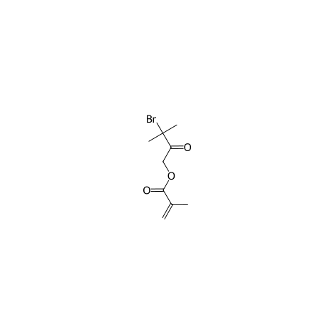 C=C(C)C(=O)OCC(=O)C(C)(C)Br